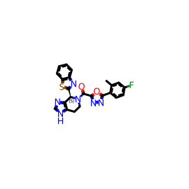 Cc1cc(F)ccc1-c1nnc(C(=O)N2CCc3[nH]cnc3[C@H]2c2nc3ccccc3s2)o1